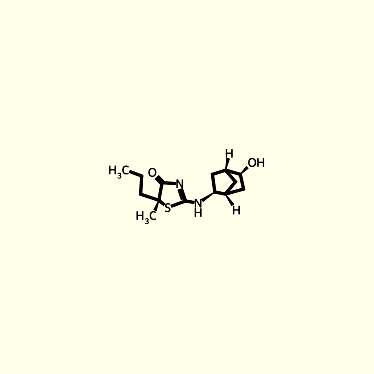 CCC[C@@]1(C)SC(N[C@H]2C[C@H]3C[C@@H]2C[C@@H]3O)=NC1=O